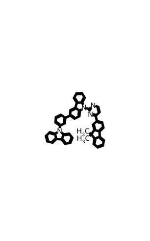 CC1(C)c2ccccc2-c2ccc(-c3ccnc(-n4c5ccccc5c5cc(-c6cccc(-n7c8ccccc8c8ccccc87)c6)ccc54)n3)cc21